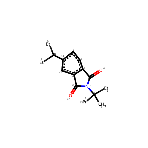 CCCC(C)(CC)N1C(=O)c2ccc(C(CC)CC)cc2C1=O